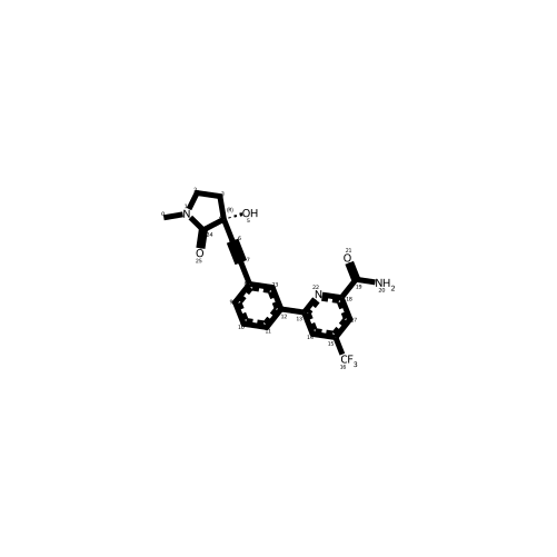 CN1CC[C@@](O)(C#Cc2cccc(-c3cc(C(F)(F)F)cc(C(N)=O)n3)c2)C1=O